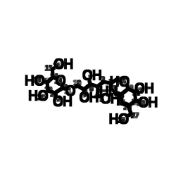 CC(CC(CO)C(O)C(O)COC1OC(CO)C(O)C(O)C1O)NC1C=C(CO)C(O)C(O)C1O